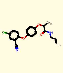 C=CCNC(=O)C(C)Oc1ccc(Oc2ccc(Cl)cc2C#N)cc1